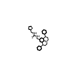 S=C(NCC1=CC=CC1)NCc1cc2c3c(c1)C(c1ccccc1)CCN3CCC2c1ccccc1